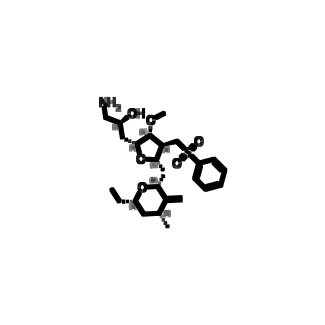 C=C1[C@H](C)C[C@H](CC)O[C@@H]1C[C@@H]1O[C@H](C[C@H](O)CN)[C@H](OC)[C@H]1CS(=O)(=O)c1ccccc1